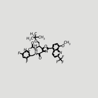 COc1ccc(-c2nc(C(=O)NCc3ccc(F)cc3F)c([C@H](COC(C)(C)C)NC(C)=O)o2)c2ccc(C(F)(F)F)nc12